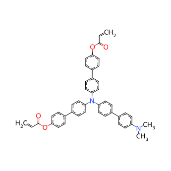 C=CC(=O)Oc1ccc(-c2ccc(N(c3ccc(-c4ccc(OC(=O)C=C)cc4)cc3)c3ccc(-c4ccc(N(C)C)cc4)cc3)cc2)cc1